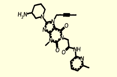 CC#CCn1c(N2CCCC(N)C2)nc2c1c(=O)n(CC(=O)Nc1cccc(C)n1)c(=O)n2C